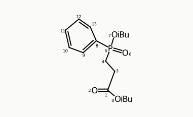 CC(C)COC(=O)CCP(=O)(OCC(C)C)c1ccccc1